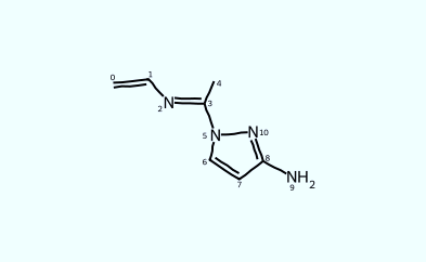 C=C/N=C(\C)n1ccc(N)n1